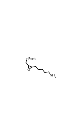 CCCCCCC1OC1CCCCCN